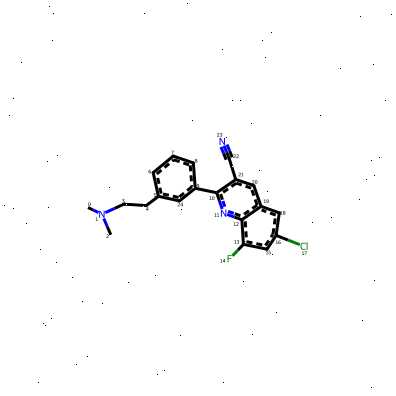 CN(C)CCc1cccc(-c2nc3c(F)cc(Cl)cc3cc2C#N)c1